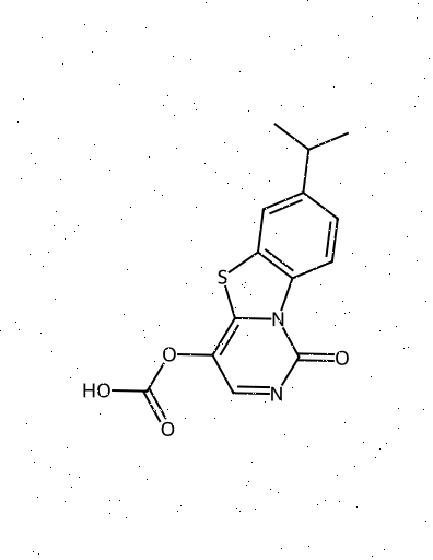 CC(C)c1ccc2c(c1)sc1c(OC(=O)O)cnc(=O)n12